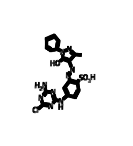 Cc1nn(-c2ccccc2)c(O)c1N=Nc1cc(Nc2nc(N)nc(Cl)n2)ccc1S(=O)(=O)O